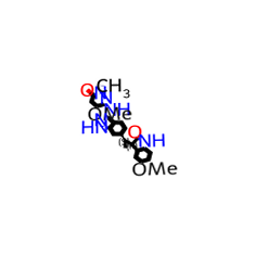 COc1ccc2c(c1)[C@]1(C[C@H]1c1ccc3c(Nc4nn(C)c(=O)cc4OC)n[nH]c3c1)C(=O)N2